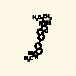 Cc1nc2ccc3cc(-c4ccc5c6c(ccc5c4)-c4nc(C(C)C)[nH]c4CO6)ccc3c2[nH]1